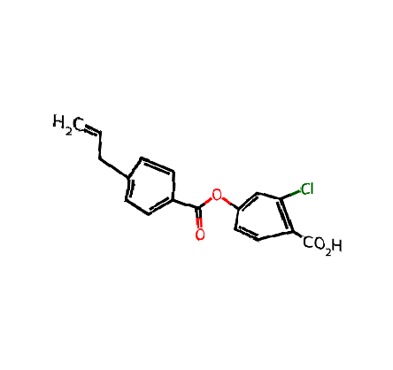 C=CCc1ccc(C(=O)Oc2ccc(C(=O)O)c(Cl)c2)cc1